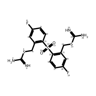 N=C(N)SCc1cc(F)ccc1S(=O)(=O)c1ccc(F)cc1CSC(=N)N